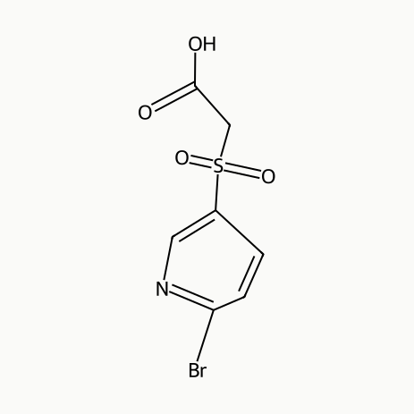 O=C(O)CS(=O)(=O)c1ccc(Br)nc1